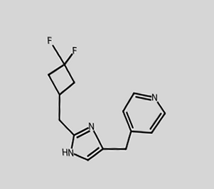 FC1(F)CC(Cc2nc(Cc3ccncc3)c[nH]2)C1